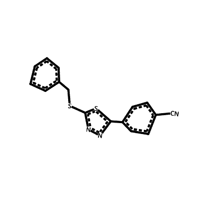 N#Cc1ccc(-c2nnc(SCc3ccccc3)s2)cc1